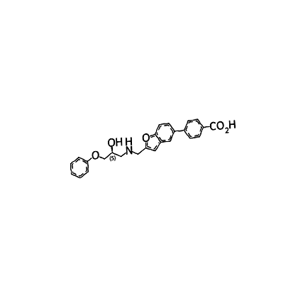 O=C(O)c1ccc(-c2ccc3oc(CNC[C@H](O)COc4ccccc4)cc3c2)cc1